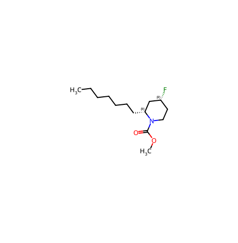 CCCCCCC[C@@H]1C[C@H](F)CCN1C(=O)OC